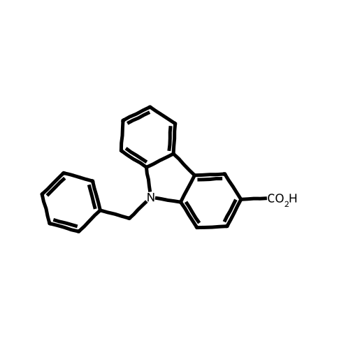 O=C(O)c1ccc2c(c1)c1ccccc1n2Cc1ccccc1